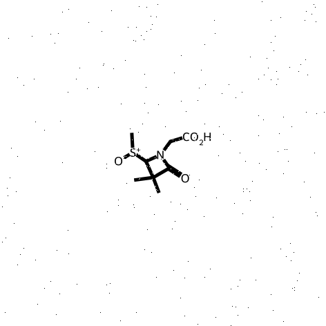 C[S+]([O-])C1N(CC(=O)O)C(=O)C1(C)C